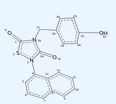 O=c1sn(-c2cccc3ccccc23)c(=O)n1Cc1ccc(O)cc1